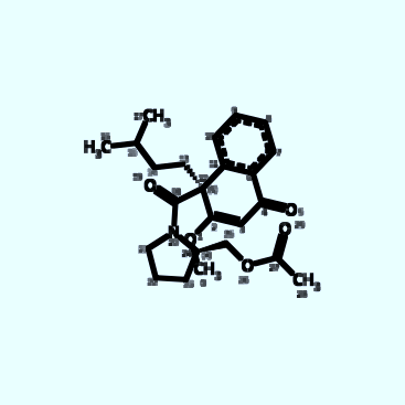 COC1=CC(=O)c2ccccc2[C@]1(CCC(C)C)C(=O)N1CCC[C@@H]1COC(C)=O